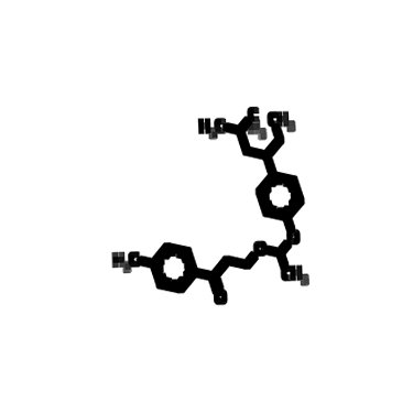 CCC(CC(C)C)c1ccc(OC(C)OCCC(=O)c2ccc(C)cc2)cc1